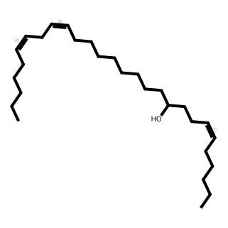 CCCCC/C=C\C/C=C\CCCCCCCCC(O)CC/C=C\CCCCC